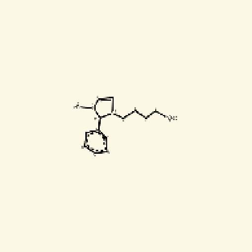 CCCCCCCCCCCCCCN1C=CN(CCC)C1c1ccccc1